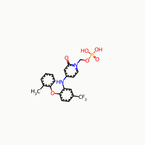 Cc1ccccc1Oc1ccc(C(F)(F)F)cc1Nc1ccn(COP(=O)(O)O)c(=O)c1